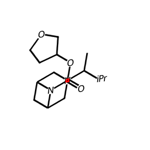 CC(C)C(C)N1CC2CC(C1)N2C(=O)OC1CCOC1